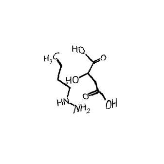 CCCCNN.O=C(O)CC(O)C(=O)O